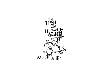 [2H]C([2H])([2H])OCC(C)(C)N(C(=O)c1nn(-c2ccsc2)c2c1COc1cc(OC)c(CC(C)C)cc1-2)C([2H])([2H])[2H]